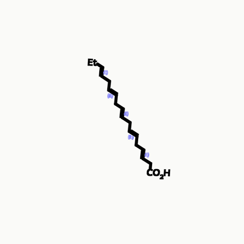 CC/C=C/C/C=C/C/C=C/C/C=C/C/C=C/CC(=O)O